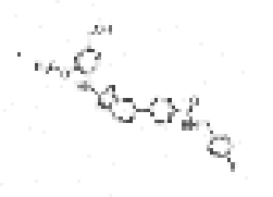 COc1cc(CO)ccc1Nc1nc2ccc(-c3ccc(C(=O)NCc4ccc(F)cc4)cc3)cn2n1